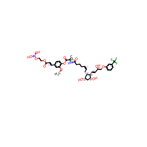 COc1cc(/C=C/C(=O)OCCON(O)O)ccc1OC(=O)C(C)NC(=O)CCC/C=C\C[C@@H]1[C@@H](/C=C/[C@@H](O)COc2cccc(C(F)(F)F)c2)[C@H](O)C[C@@H]1O